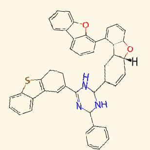 C1=CC2O[C@@H]3C=CC(C4NC(C5=Cc6c(sc7ccccc67)CC5)=NC(c5ccccc5)N4)CC3C2C(c2cccc3c2oc2ccccc23)=C1